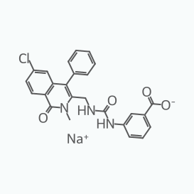 Cn1c(CNC(=O)Nc2cccc(C(=O)[O-])c2)c(-c2ccccc2)c2cc(Cl)ccc2c1=O.[Na+]